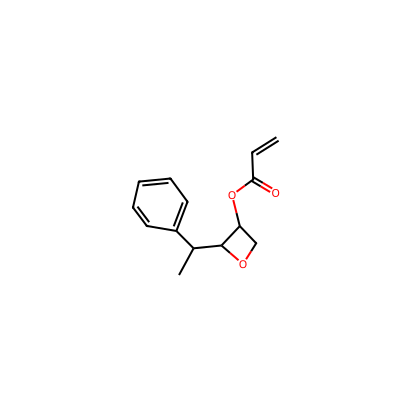 C=CC(=O)OC1COC1C(C)c1ccccc1